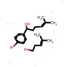 CC(C)=CCCBr.CC(C)=CCCC(O)c1ccc(Br)cc1